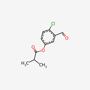 CC(C)C(=O)Oc1ccc(Cl)c(C=O)c1